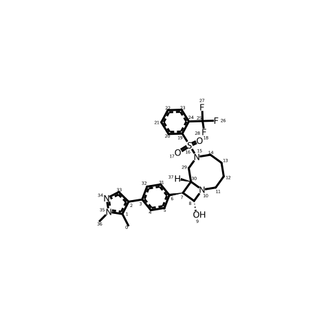 Cc1c(-c2ccc([C@@H]3[C@@H](O)N4CCCCN(S(=O)(=O)c5ccccc5C(F)(F)F)C[C@@H]34)cc2)cnn1C